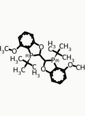 COc1cccc2c1[P@](C(C)(C)C)C(C1Oc3cccc(OC)c3[P@]1C(C)(C)C)O2